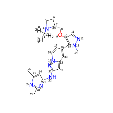 [2H]C([2H])([2H])N1CC[C@@H]1COc1cnn(C)c1-c1ccn2nc(Nc3cc(C)nc(C)n3)cc2c1